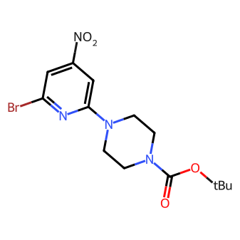 CC(C)(C)OC(=O)N1CCN(c2cc([N+](=O)[O-])cc(Br)n2)CC1